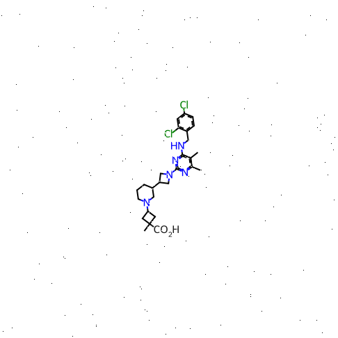 Cc1nc(N2CC(C3CCCN(C4CC(C)(C(=O)O)C4)C3)C2)nc(NCc2ccc(Cl)cc2Cl)c1C